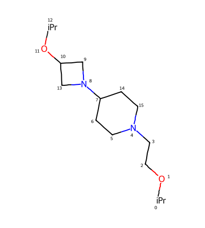 CC(C)OCCN1CCC(N2CC(OC(C)C)C2)CC1